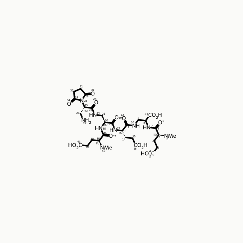 CN[C@@H](CCC(=O)O)C(=O)NC(CNC(=O)[C@H](CCC(=O)O)NC(=O)[C@H](CNC(=O)[C@H](CN)N1C(=O)CCC1=O)NC(=O)[C@H](CCC(=O)O)NC)C(=O)O